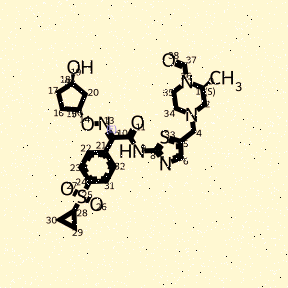 C[C@H]1CN(Cc2cnc(NC(=O)/C(=N/O[C@@H]3CC[C@@H](O)C3)c3ccc(S(=O)(=O)C4CC4)cc3)s2)CCN1C=O